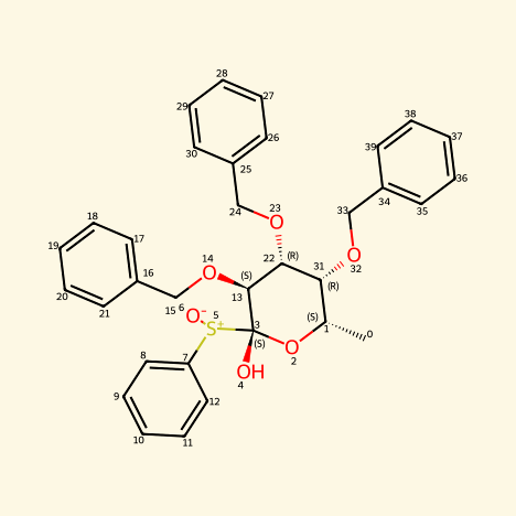 C[C@@H]1O[C@](O)([S+]([O-])c2ccccc2)[C@@H](OCc2ccccc2)[C@H](OCc2ccccc2)[C@@H]1OCc1ccccc1